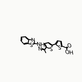 CC(=NNc1nc2ccccc2s1)c1ccc(-c2ccc(C(=O)O)s2)s1